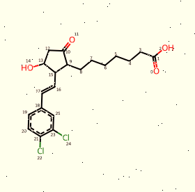 O=C(O)CCCCCCC1C(=O)CC(O)C1C=Cc1ccc(Cl)c(Cl)c1